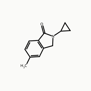 Cc1ccc2c(c1)CN(C1CC1)C2=O